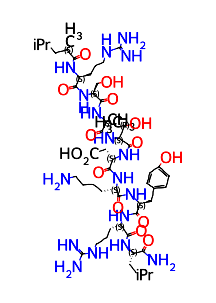 CC(C)C[C@H](NC(=O)[C@H](CCCNC(=N)N)NC(=O)[C@H](Cc1ccc(O)cc1)NC(=O)[C@H](CCCCN)NC(=O)[C@H](CC(=O)O)NC(=O)[C@@H](NC(=O)[C@H](C)NC(=O)[C@H](CO)NC(=O)[C@H](CCCNC(=N)N)NC(=O)[C@@H](C)CC(C)C)[C@@H](C)O)C(N)=O